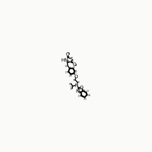 CC(C)N(CCOc1ccc(CC2NC(=O)SC2=O)cc1)c1nc2ccccc2o1